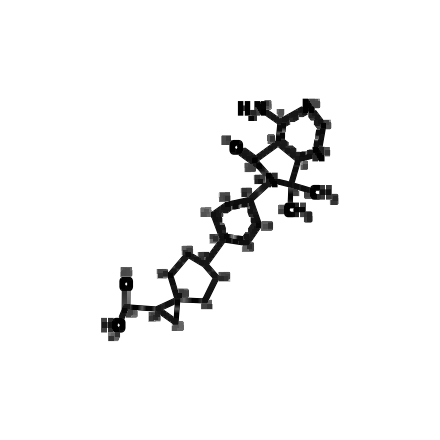 CC1(C)c2ncnc(N)c2C(=O)N1c1ccc(C2CCC3(CC2)CC3C(=O)O)cc1